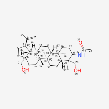 C=C(C)[C@@H]1CC[C@]2(CO)CC[C@]3(C)[C@H](CC[C@@H]4[C@@]5(C)CCC(NC(C)=O)C(C)(CO)[C@@H]5CC[C@]43C)[C@@H]12